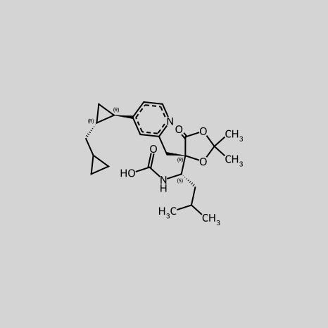 CC(C)C[C@H](NC(=O)O)[C@@]1(Cc2cc([C@@H]3C[C@H]3CC3CC3)ccn2)OC(C)(C)OC1=O